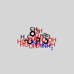 CCCO[C@H]1[C@H](O[C@@H]2[C@@H](O)[C@H](C)C[C@H](C)[C@H]2O[C@H]2O[C@H](CO)[C@@H](O)[C@H](O)C2N)O[C@H](CO)[C@H]1O[C@H]1O[C@@H](CC)[C@@H](O)[C@H](O)[C@H]1N